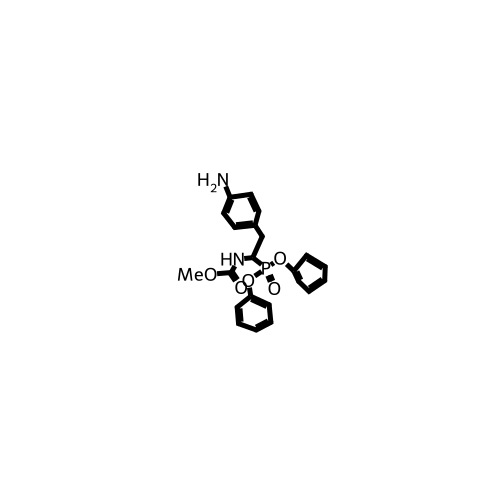 COC(=O)NC(Cc1ccc(N)cc1)P(=O)(Oc1ccccc1)Oc1ccccc1